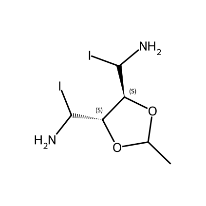 CC1O[C@H](C(N)I)[C@@H](C(N)I)O1